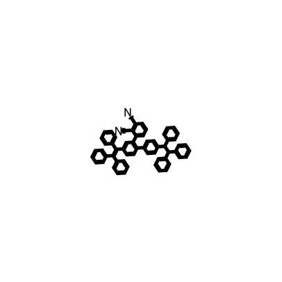 N#Cc1cccc(-c2cc(C(=C(c3ccccc3)c3ccccc3)c3ccccc3)ccc2-c2ccc(C(c3ccccc3)C(c3ccccc3)c3ccccc3)cc2)c1C#N